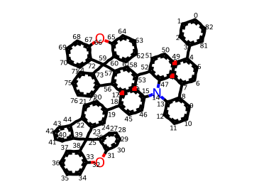 c1ccc(-c2ccc(-c3ccccc3N(c3ccc(-c4ccc5c(c4)C4(c6ccccc6Oc6ccccc64)c4ccccc4-5)cc3)c3ccccc3-c3ccc4c(c3)C3(c5ccccc5Oc5ccccc53)c3ccccc3-4)cc2)cc1